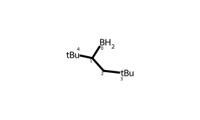 BC(CC(C)(C)C)C(C)(C)C